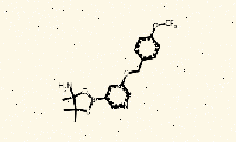 CC1(C)OB(c2cncc(OCc3ccc(OC(F)(F)F)cc3)c2)OC1(C)N